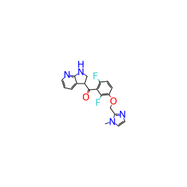 Cn1ccnc1COc1ccc(F)c(C(=O)C2CNc3ncccc32)c1F